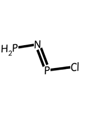 PN=PCl